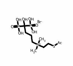 CC(=O)SCC[N+](C)(C)CCCC(O)(P(=O)(O)O)P(=O)(O)O.[Br-]